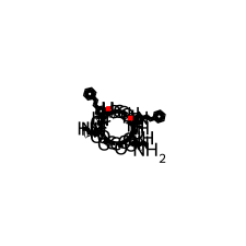 CN[C@@H](C)C(=O)N[C@H]1COC(=O)CCC(=O)OC[C@H](NC(=O)[C@H](N)NC)C(=O)N2C[C@@H](OCCO[C@@H]3CN(C1=O)[C@@H]1CC(CCc4ccccc4)C[C@@H]13)[C@H]1CN(CCc3ccccc3)C[C@H]12